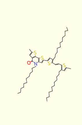 CCCCCCCCCCCCc1cc(C)sc1/C=C/c1sc(-c2cc3c(s2)c2sc(C)cc2c(=O)n3CCCCCCCCCCCC)cc1CCCCCCCCCCCC